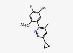 COc1cc(F)c(C(C)C)cc1-c1ncc(C2CC2)cc1C